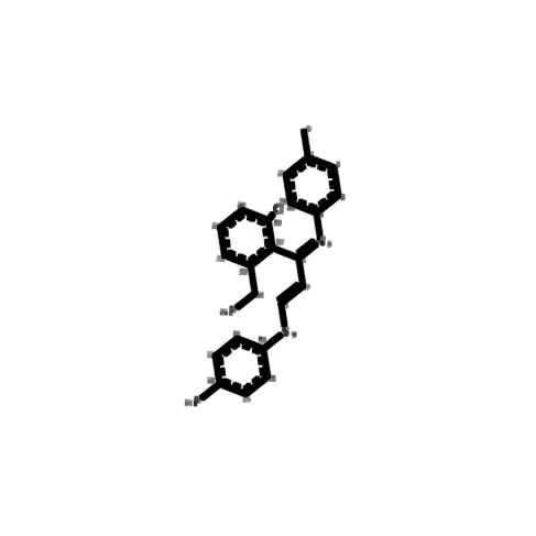 Cc1ccc(/N=C(/C=C/Sc2ccc(F)cc2)c2c(Cl)cccc2CF)cc1